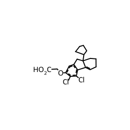 O=C(O)COc1cc2c(c(Cl)c1Cl)C1=CCCCC1(C1CCCC1)C2